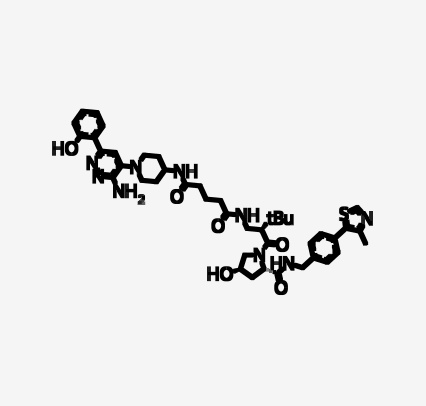 Cc1ncsc1-c1ccc(CNC(=O)[C@@H]2C[C@@H](O)CN2C(=O)[C@@H](CNC(=O)CCCC(=O)NC2CCN(c3cc(-c4ccccc4O)nnc3N)CC2)C(C)(C)C)cc1